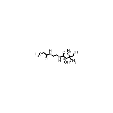 CCC(=O)NCCNC(=O)[C@H](O)C(C)(C)CO